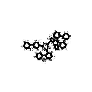 c1ccc2c(c1)-c1ccccc1C1(c3ccccc3-2)c2ccccc2-c2c(-c3nc(-c4ccc5c(c4)oc4ccccc45)nc(-c4cccc5oc6ccccc6c45)n3)cccc21